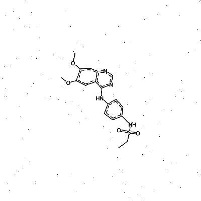 CCS(=O)(=O)Nc1ccc(Nc2ncnc3cc(OC)c(OC)cc23)cc1